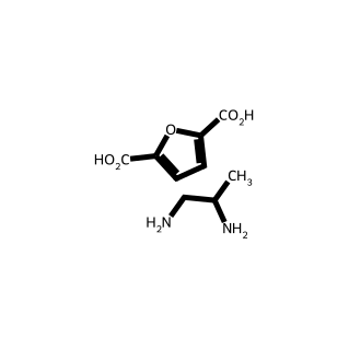 CC(N)CN.O=C(O)c1ccc(C(=O)O)o1